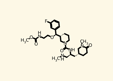 CNC[C@H](C[C@H]1CCC(=O)N(C)C1)NC(=O)N1CCC[C@@H]([C@@H](OCCNC(=O)OC)c2cccc(F)c2)C1